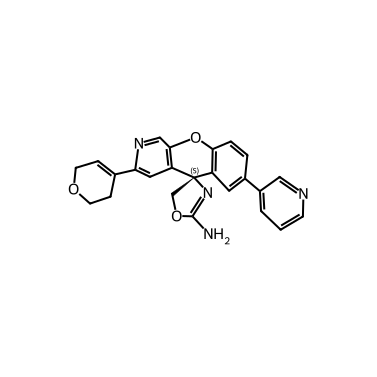 NC1=N[C@@]2(CO1)c1cc(-c3cccnc3)ccc1Oc1cnc(C3=CCOCC3)cc12